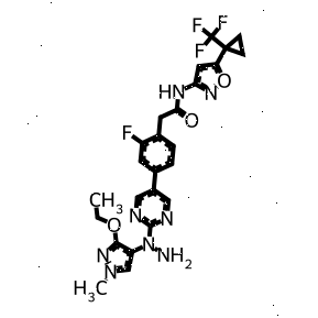 CCOc1nn(C)cc1N(N)c1ncc(-c2ccc(CC(=O)Nc3cc(C4(C(F)(F)F)CC4)on3)c(F)c2)cn1